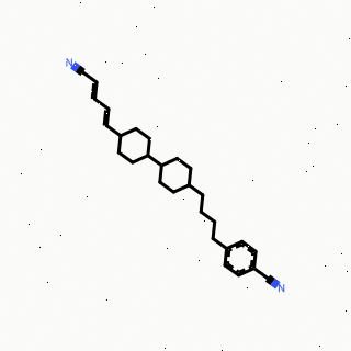 N#CC=CC=CC1CCC(C2CCC(CCCCc3ccc(C#N)cc3)CC2)CC1